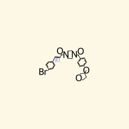 O=C(/C=C/c1ccc(Br)cc1)N1CCN(C(=O)c2ccc(OC3CCOC3)cc2)CC1